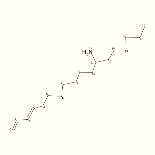 C=CC=CCCCCCCCC(N)CCCCCC